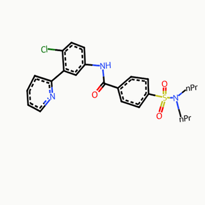 CCCN(CCC)S(=O)(=O)c1ccc(C(=O)Nc2ccc(Cl)c(-c3ccccn3)c2)cc1